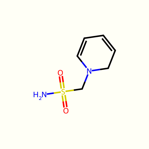 NS(=O)(=O)CN1C=CC=CC1